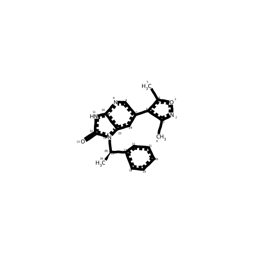 Cc1noc(C)c1-c1cnc2[nH]c(=O)n([C@H](C)c3ccccc3)c2c1